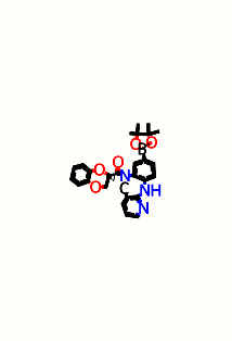 CC1(C)OB(c2ccc3c(c2)N(C(=O)[C@H]2COc4ccccc4O2)Cc2cccnc2N3)OC1(C)C